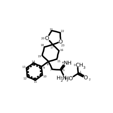 CC(=O)O.N=C(N)CC1(c2ccccc2)CCC2(CC1)OCCO2